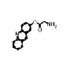 NCC(=O)Oc1ccc2nc3ccccc3cc2c1